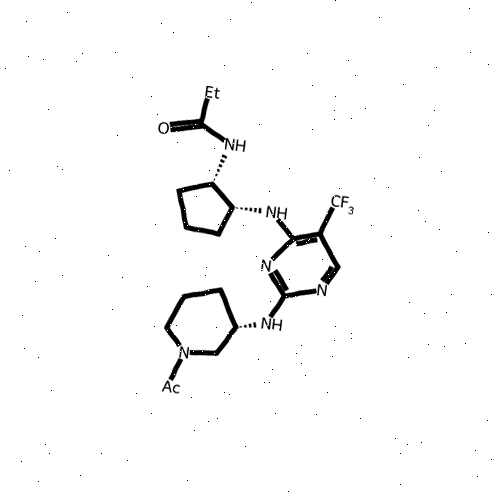 CCC(=O)N[C@H]1CCC[C@H]1Nc1nc(N[C@H]2CCCN(C(C)=O)C2)ncc1C(F)(F)F